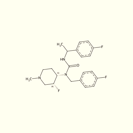 CC(NC(=O)N(Cc1ccc(F)cc1)[C@H]1CCN(C)C[C@H]1F)c1ccc(F)cc1